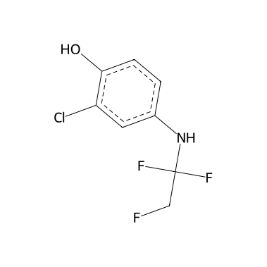 Oc1ccc(NC(F)(F)CF)cc1Cl